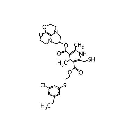 CCc1cc(Cl)cc(SCCOC(=O)C2=C(CS)NC(C)=C(C(=O)OC3CN4CCOC5=C4N(CCO5)C3)C2C)c1